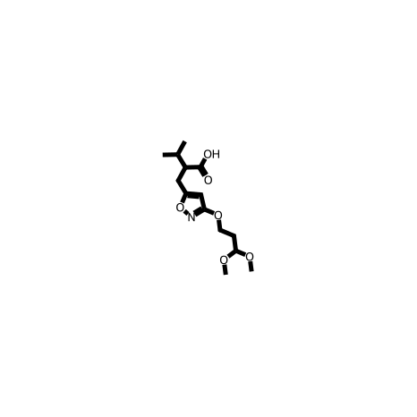 COC(CCOc1cc(CC(C(=O)O)C(C)C)on1)OC